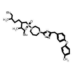 Cc1ccc(Oc2ccc(Cc3nsc(N4CCCN(S(=O)(=O)CC(CCC(C)CC(C)(C)C)C(C)CC(C)(C)C)CC4)n3)cc2)cc1